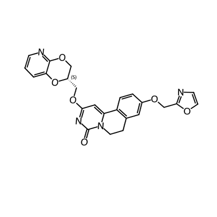 O=c1nc(OC[C@H]2COc3ncccc3O2)cc2n1CCc1cc(OCc3ncco3)ccc1-2